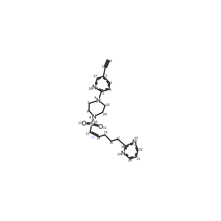 C#Cc1ccc(N2CCN(S(=O)(=O)/C=C\CCCc3ncccn3)CC2)nc1